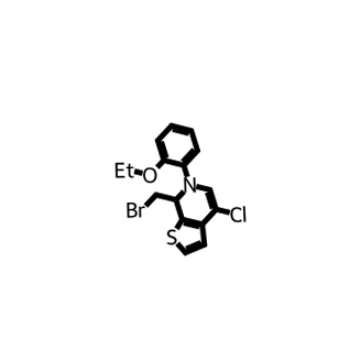 CCOc1ccccc1N1C=C(Cl)c2ccsc2C1CBr